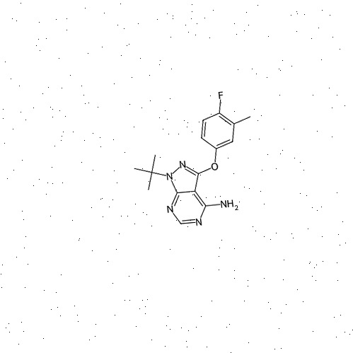 Cc1cc(Oc2nn(C(C)(C)C)c3ncnc(N)c23)ccc1F